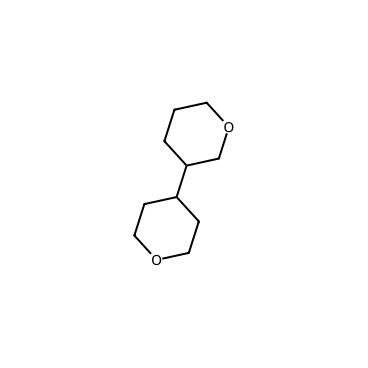 C1COCC(C2CCOCC2)C1